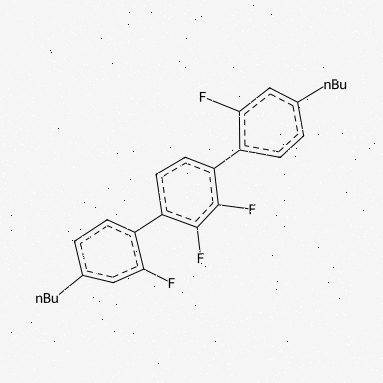 CCCCc1ccc(-c2ccc(-c3ccc(CCCC)cc3F)c(F)c2F)c(F)c1